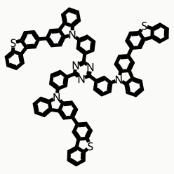 c1cc(-c2nc(-c3cccc(-n4c5ccccc5c5cc(-c6ccc7sc8ccccc8c7c6)ccc54)c3)nc(-c3cccc(-n4c5ccccc5c5cc(-c6ccc7sc8ccccc8c7c6)ccc54)c3)n2)cc(-n2c3ccccc3c3cc(-c4ccc5sc6ccccc6c5c4)ccc32)c1